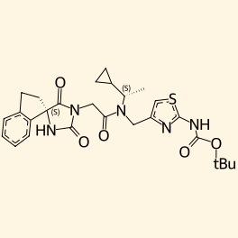 C[C@@H](C1CC1)N(Cc1csc(NC(=O)OC(C)(C)C)n1)C(=O)CN1C(=O)N[C@]2(CCc3ccccc32)C1=O